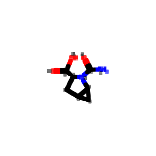 NC(=O)N1C2CC2C[C@H]1C(=O)O